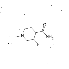 CN1CCC(C(N)=O)C(F)C1